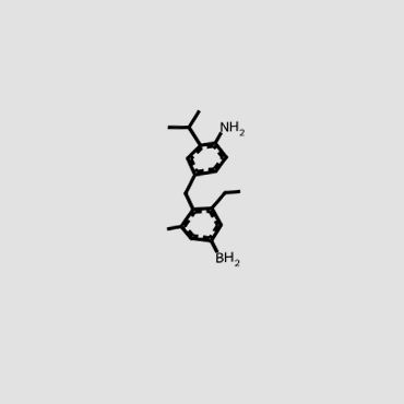 Bc1cc(C)c(Cc2ccc(N)c(C(C)C)c2)c(CC)c1